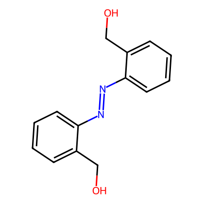 OCc1ccccc1N=Nc1ccccc1CO